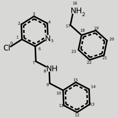 Clc1cccnc1CNCc1ccccc1.NCc1ccccc1